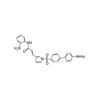 CC(=O)Nc1ccc(-c2ccc(S(=O)(=O)n3ccc(C=CC(=O)Nc4ccccc4N)c3)cc2)cc1